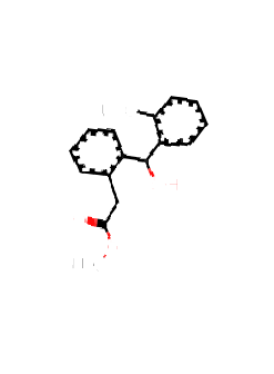 COC(=O)Cc1ccccc1C(O)c1ccccc1C